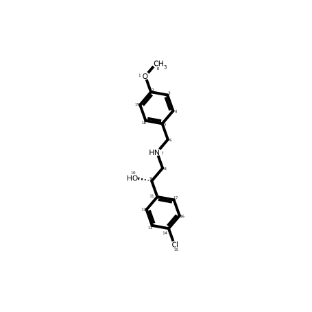 COc1ccc(CNC[C@@H](O)c2ccc(Cl)cc2)cc1